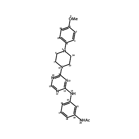 COc1ccc(N2CCN(c3ncnc(Nc4cccc(NC(C)=O)c4)n3)CC2)cc1